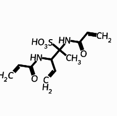 C=CC(=O)NC(C=C)C(C)(NC(=O)C=C)S(=O)(=O)O